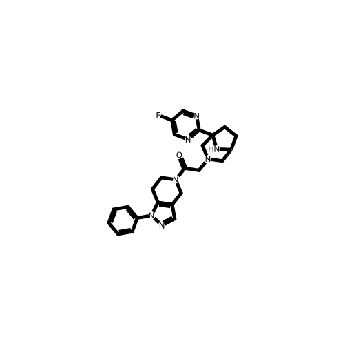 O=C(CN1CC2CCC(c3ncc(F)cn3)(C1)N2)N1CCc2c(cnn2-c2ccccc2)C1